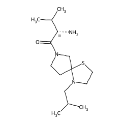 CC(C)CN1CCSC12CCN(C(=O)[C@@H](N)C(C)C)C2